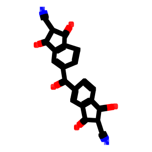 N#CC1C(=O)c2ccc(C(=O)c3ccc4c(c3)C(=O)C(C#N)C4=O)cc2C1=O